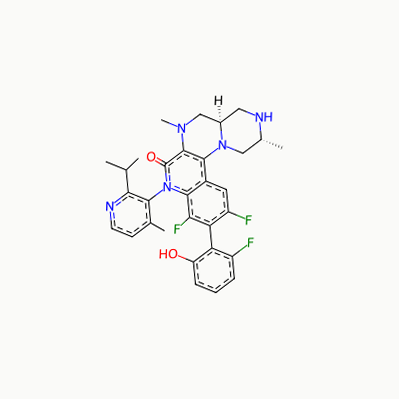 Cc1ccnc(C(C)C)c1-n1c(=O)c2c(c3cc(F)c(-c4c(O)cccc4F)c(F)c31)N1C[C@@H](C)NC[C@@H]1CN2C